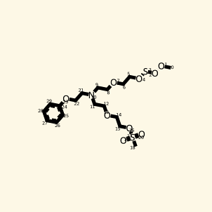 COOSOCCOCCN(CCOCCOS(C)(=O)=O)CCOc1ccccc1